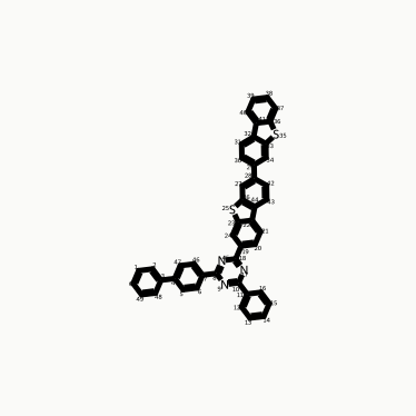 c1ccc(-c2ccc(-c3nc(-c4ccccc4)nc(-c4ccc5c(c4)sc4cc(-c6ccc7c(c6)sc6ccccc67)ccc45)n3)cc2)cc1